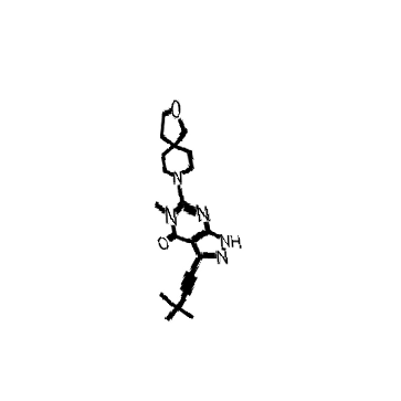 Cn1c(N2CCC3(CCOC3)CC2)nc2[nH]nc(C#CC(C)(C)C)c2c1=O